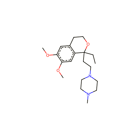 CCC1(CCN2CCN(C)CC2)OCCc2cc(OC)c(OC)cc21